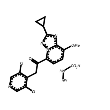 CCCNC(=O)O.COc1ccc(C(=O)Cc2c(Cl)cncc2Cl)n2nc(C3CC3)nc12